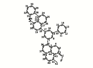 C/C=c1/ccc2c(-c3cc(-c4ccccc4)cc(-c4ccc5c6c(cccc46)-c4ccccc4S5)c3)ccc3ccc(C)c1c32